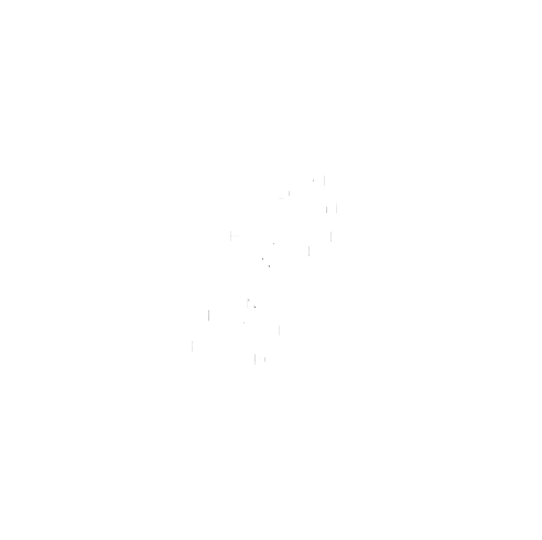 CCCC(C)(CC)C(C)CC(C)(C)N1CCN(C(C)(C)C(C)C(C)(C)C)CC1